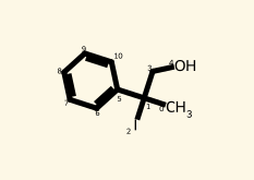 CC(I)(CO)c1ccccc1